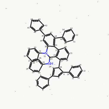 C1=C(c2ccccc2)C=C(c2ccccc2)C1c1cccc2c1C(Nc1ccccc1)N(c1ccccc1)c1cc(-c3ccccc3)cc(-c3ccccc3)c1-2